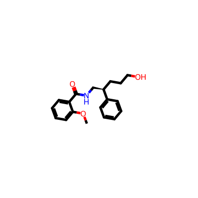 COc1ccccc1C(=O)NC[C@@H](CCCO)c1ccccc1